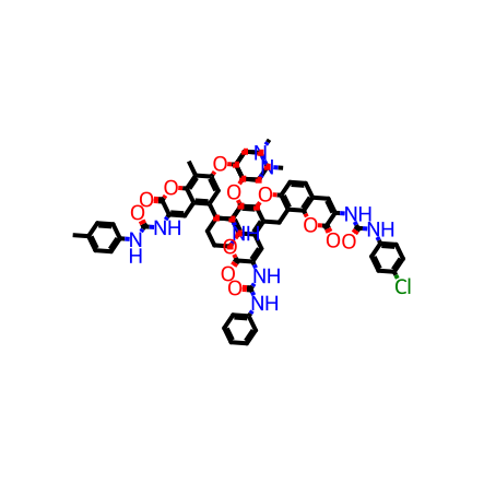 Cc1ccc(NC(=O)Nc2cc3c(Cc4c(OC5CCN(C)CC5)cc(Cc5c(OCCC6CCCCN6)ccc6cc(NC(=O)Nc7ccc(Cl)cc7)c(=O)oc56)c5cc(NC(=O)Nc6ccccc6)c(=O)oc45)cc(OC4CCN(C)CC4)c(C)c3oc2=O)cc1